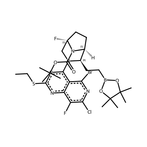 CCSc1nc(N2C[C@@]3(F)CC[C@@H]([C@H]2CCB2OC(C)(C)C(C)(C)O2)N3C(=O)OC(C)(C)C)c2c(Br)nc(Cl)c(F)c2n1